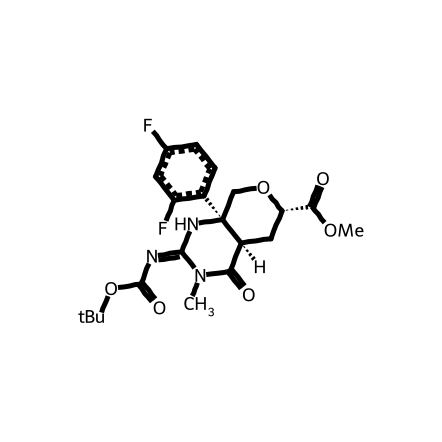 COC(=O)[C@@H]1C[C@H]2C(=O)N(C)/C(=N\C(=O)OC(C)(C)C)N[C@@]2(c2ccc(F)cc2F)CO1